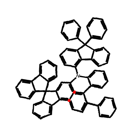 c1ccc(-c2ccccc2-c2ccccc2N(c2ccc3c(c2)C2(c4ccccc4-c4ccccc42)c2ccccc2-3)c2cccc3c2-c2ccccc2C3(c2ccccc2)c2ccccc2)cc1